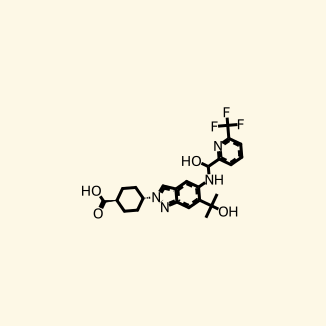 CC(C)(O)c1cc2nn([C@H]3CC[C@H](C(=O)O)CC3)cc2cc1NC(O)c1cccc(C(F)(F)F)n1